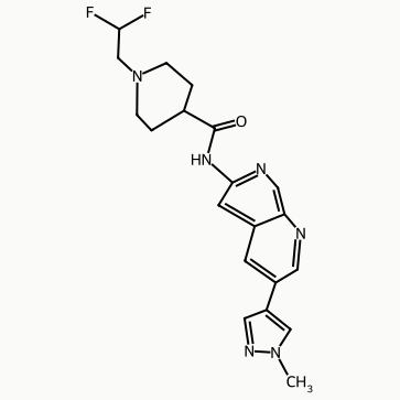 Cn1cc(-c2cnc3cnc(NC(=O)C4CCN(CC(F)F)CC4)cc3c2)cn1